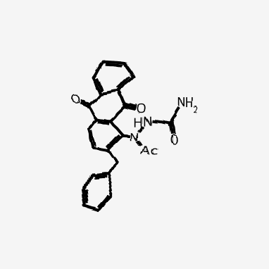 CC(=O)N(NC(N)=O)c1c(Cc2ccccc2)ccc2c1C(=O)c1ccccc1C2=O